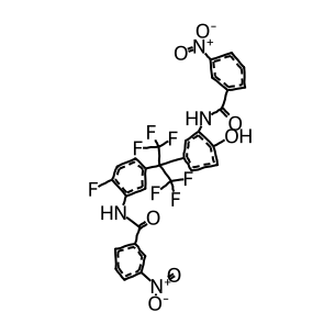 O=C(Nc1cc(C(c2ccc(F)c(NC(=O)c3cccc([N+](=O)[O-])c3)c2)(C(F)(F)F)C(F)(F)F)ccc1O)c1cccc([N+](=O)[O-])c1